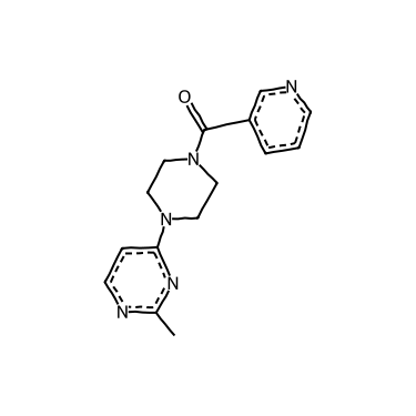 Cc1nccc(N2CCN(C(=O)c3cccnc3)CC2)n1